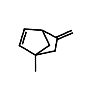 C=C1CC2(C)C=CC1C2